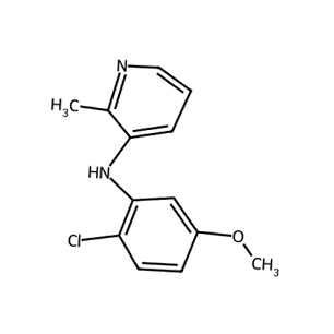 COc1ccc(Cl)c(Nc2cccnc2C)c1